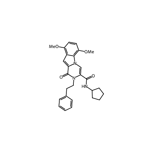 COc1ccc(OC)c2c1cc1c(=O)n(CCc3ccccc3)c(C(=O)NC3CCCC3)cn12